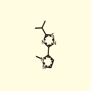 CC(C)c1nc(-c2ccnn2C)ns1